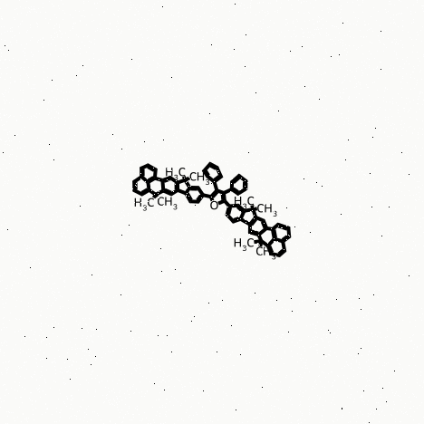 CC1(C)c2cc(-c3oc(-c4ccc5c(c4)C(C)(C)c4cc6c(cc4-5)C(C)(C)c4cccc5cccc-6c45)c(-c4ccccc4)c3-c3ccccc3)ccc2-c2cc3c(cc21)-c1cccc2cccc(c12)C3(C)C